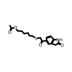 CC(=O)OCCCCCCSCC(=O)c1ccc2c(c1)CC(=O)N2